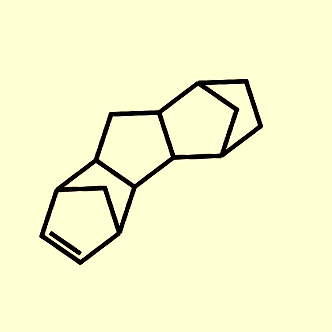 C1=CC2CC1C1CC3C4CCC(C4)C3C21